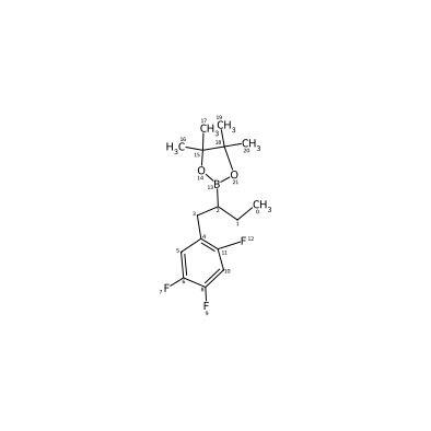 CCC(Cc1cc(F)c(F)cc1F)B1OC(C)(C)C(C)(C)O1